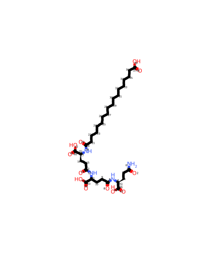 NC(=O)CC[C@H](NC(=O)CCC(NC(=O)CC[C@H](NC(=O)CCCCCCCCCCCCCCCCC(=O)O)C(=O)O)C(=O)O)C(=O)O